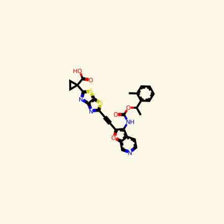 Cc1ccccc1C(C)OC(=O)Nc1c(C#Cc2nc3nc(C4(C(=O)O)CC4)sc3s2)oc2cnccc12